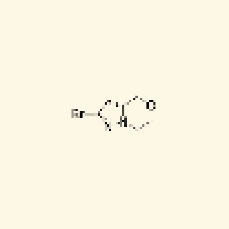 Brc1cc2n(n1)CCOC2